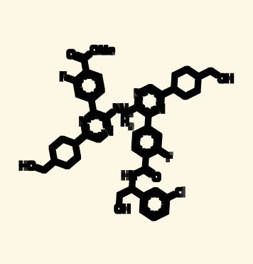 COC(=O)c1ccc(-c2nc(C3CCC(CO)CC3)cnc2N)cc1F.Nc1ncc(C2CCC(CO)CC2)nc1-c1ccc(C(=O)NC(CO)c2cccc(Cl)c2)c(F)c1